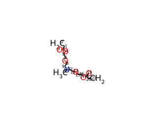 C=CC(=O)OCCOCCN(C)CCOCCOC(=O)C=C